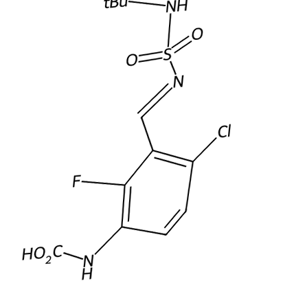 CC(C)(C)NS(=O)(=O)/N=C/c1c(Cl)ccc(NC(=O)O)c1F